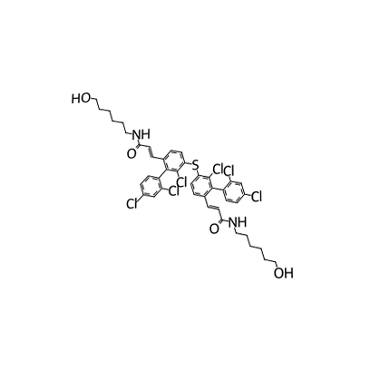 O=C(/C=C/c1ccc(Sc2ccc(/C=C/C(=O)NCCCCCCO)c(-c3ccc(Cl)cc3Cl)c2Cl)c(Cl)c1-c1ccc(Cl)cc1Cl)NCCCCCCO